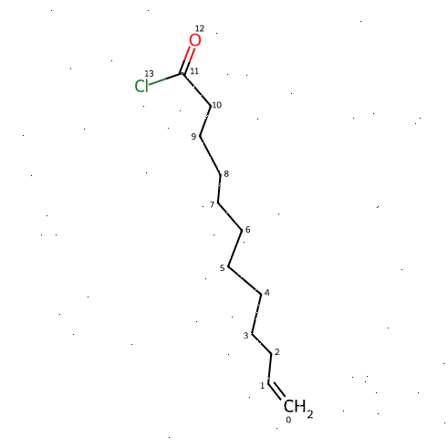 C=CCCCCCCCCCC(=O)Cl